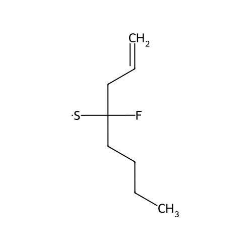 C=CCC(F)([S])CCCC